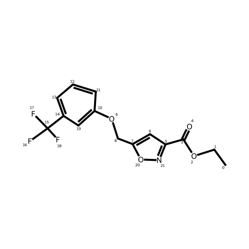 CCOC(=O)c1cc(COc2cccc(C(F)(F)F)c2)on1